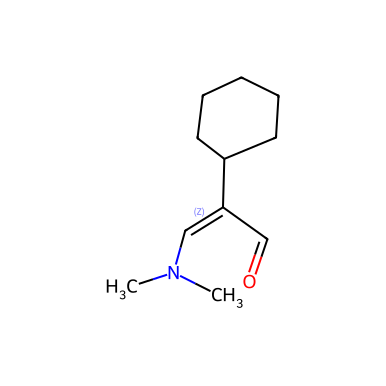 CN(C)/C=C(\C=O)C1CCCCC1